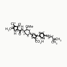 CO[C@H]1CN(c2nc(-c3cnc(NCCN(C)C)cn3)c(C(=O)O)s2)CC[C@H]1NC(=O)c1[nH]c(C)c(Cl)c1Cl